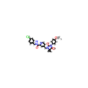 O=C(NCc1ccc(Cl)cc1)c1cc(CN2C(=O)N(c3ccc(OC(F)(F)F)cc3)C(=O)C23CC3)ccn1